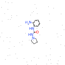 Nc1ccccc1NC(=O)NN1CCCC1